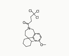 COc1ccc2c(c1)C1(CCCCC1C)CCN(C(=O)CCC(Cl)(Cl)Cl)C2